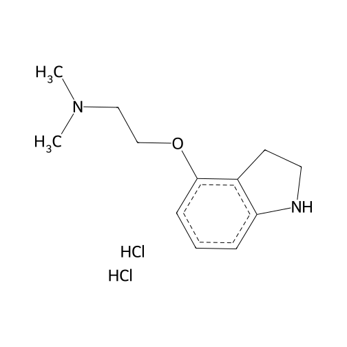 CN(C)CCOc1cccc2c1CCN2.Cl.Cl